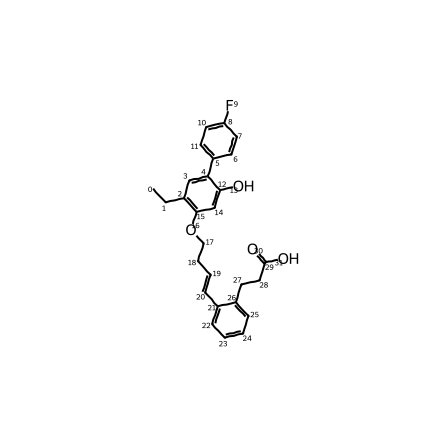 CCc1cc(-c2ccc(F)cc2)c(O)cc1OCCC=Cc1ccccc1CCC(=O)O